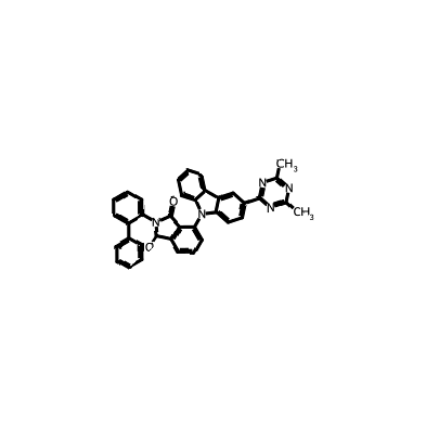 Cc1nc(C)nc(-c2ccc3c(c2)c2ccccc2n3-c2cccc3c2C(=O)N(c2ccccc2-c2ccccc2)C3O)n1